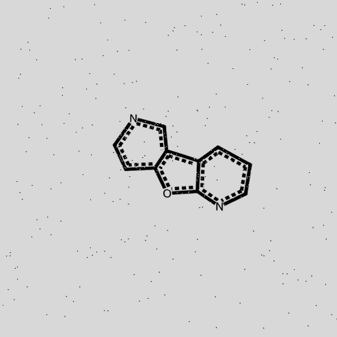 c1cnc2oc3ccncc3c2c1